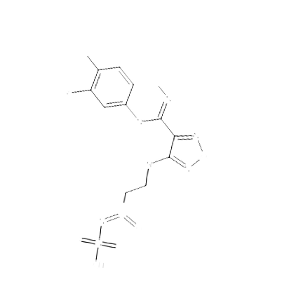 CS(=O)(=O)/N=[SH](=O)/CCNc1nonc1/C(=N/O)Nc1ccc(F)c(Br)c1